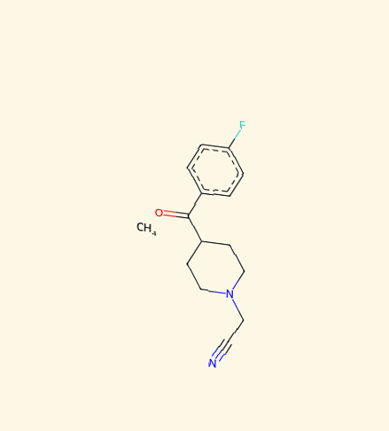 C.N#CCN1CCC(C(=O)c2ccc(F)cc2)CC1